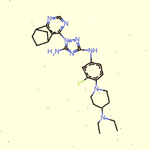 CCN(CC)C1CCN(c2ccc(Nc3nc(N)n(-c4ncnc5c4C4CCC5C4)n3)cc2F)CC1